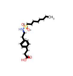 CCCCCCCCS(=O)(=O)NCCc1ccc(CCC(=O)O)cc1